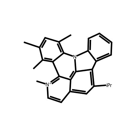 Cc1cc(C)c2c(c1C)c1c3c(cc[n+]1C)cc(C(C)C)c1c4ccccc4n2c13